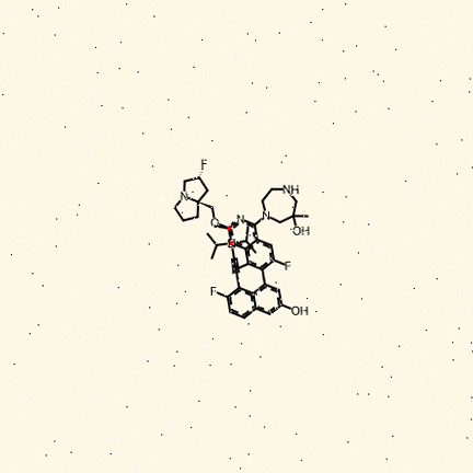 CC(C)[Si](C#Cc1c(F)ccc2cc(O)cc(-c3c(F)cc4c(N5CCNCC(C)(O)C5)nc(OC[C@@]56CCCN5C[C@H](F)C6)nc4c3F)c12)(C(C)C)C(C)C